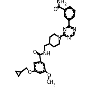 COc1cc(OCC2CC2)cc(C(=O)NCC2CCN(c3ncnc(-c4cccc(C(N)=O)c4)n3)CC2)c1